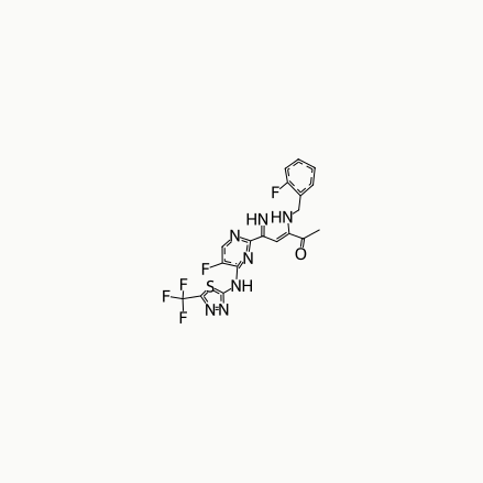 CC(=O)/C(=C/C(=N)c1ncc(F)c(Nc2nnc(C(F)(F)F)s2)n1)NCc1ccccc1F